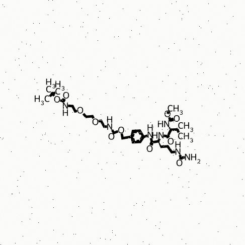 COC(=O)N[C@H](C(=O)N[C@@H](CCCNC(N)=O)C(=O)Nc1ccc(COC(=O)NCCOCCOCCNC(=O)OC(C)(C)C)cc1)C(C)C